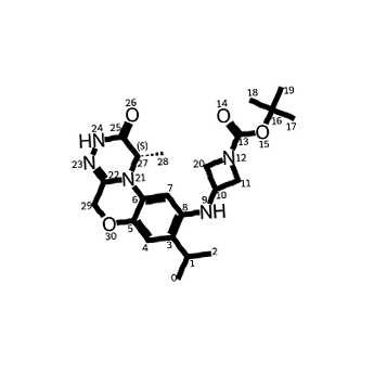 CC(C)c1cc2c(cc1NC1CN(C(=O)OC(C)(C)C)C1)N1C(=NNC(=O)[C@@H]1C)CO2